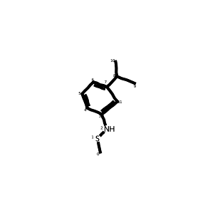 CSNc1cccc(C(C)C)c1